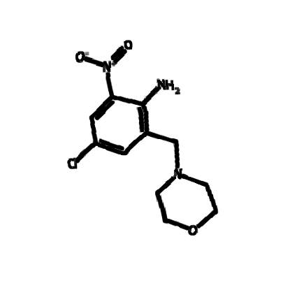 Nc1c(CN2CCOCC2)cc(Cl)cc1[N+](=O)[O-]